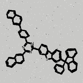 c1ccc(C2(c3ccc4c(c3)sc3cc(-c5nc(-c6ccc(-c7ccc8ccccc8c7)cc6)nc(-c6ccc7ccccc7c6)n5)ccc34)c3ccccc3-c3ccccc32)cc1